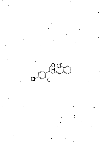 OCC(CC=Cc1ccccc1Cl)c1ccc(Cl)cc1Cl